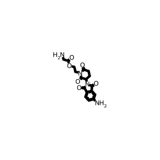 NCC(=O)OCCN1C(=O)CCC(N2C(=O)c3ccc(N)cc3C2=O)C1=O